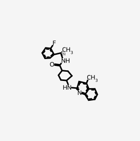 Cc1cc(NC2CCC(C(=O)N[C@@H](C)c3ccccc3F)CC2)nc2ccccc12